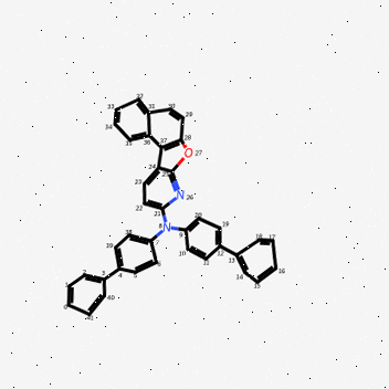 c1ccc(-c2ccc(N(c3ccc(-c4ccccc4)cc3)c3ccc4c(n3)oc3ccc5ccccc5c34)cc2)cc1